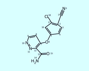 N#Cc1ccc(Oc2ccnnc2C(N)=O)cc1Cl